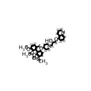 COc1cccc(-c2c(COC3CCN(CC(O)COc4cccc5ncccc45)CC3)ccc(OC)c2OC)c1OC